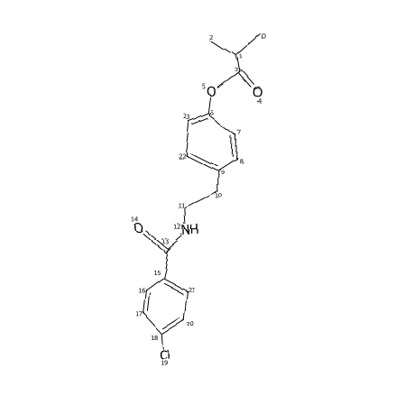 CC(C)C(=O)Oc1ccc(CCNC(=O)c2ccc(Cl)cc2)cc1